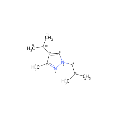 Cc1nn(CC(C)C)cc1C(C)C